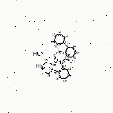 Cl.O=CN(OCC1c2ccccc2-c2ccccc21)c1ccccc1C1CCNCC1